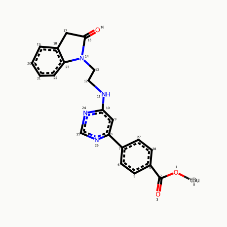 CC(C)(C)OC(=O)c1ccc(-c2cc(NCCN3C(=O)Cc4ccccc43)ncn2)cc1